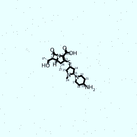 C[C@@H](O)[C@H]1C(=O)N2C(C(=O)O)=C(S[C@H]3C[C@H](N4CCC(N)CC4)N(C)C3)[C@H](C)[C@H]12